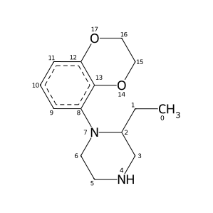 CCC1CNCCN1c1cccc2c1OCCO2